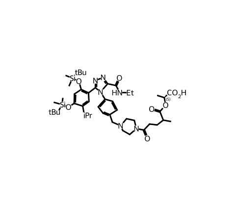 CCNC(=O)c1nnc(-c2cc(C(C)C)c(O[Si](C)(C)C(C)(C)C)cc2O[Si](C)(C)C(C)(C)C)n1-c1ccc(CN2CCN(C(=O)CCC(C)C(=O)O[C@@H](C)C(=O)O)CC2)cc1